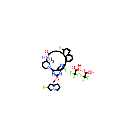 C[C@@]12CCCN(C1)c1nc(OC[C@@]34CCCN3C[C@H](F)C4)nc3c(F)c(ncc13)-c1cccc3ccc(F)c(c13)CCCC(=O)N2.O=C(O)C(F)(F)F.O=C(O)C(F)(F)F